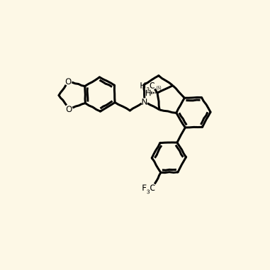 C[C@H]1C2CCN(Cc3ccc4c(c3)OCO4)C1c1c(-c3ccc(C(F)(F)F)cc3)cccc12